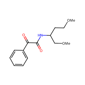 COCCC(COC)NC(=O)C(=O)c1ccccc1